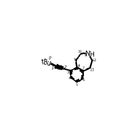 CC(C)(C)C#Cc1cccc2c1CCNCC2